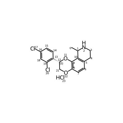 CC1NCCc2ccc3c(c21)O[C@@H](c1ccc(Cl)cc1Cl)CO3.Cl